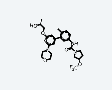 Cc1ccc(NC(=O)N2CC[C@@H](OC(F)(F)F)C2)cc1-c1cc(OC[C@H](C)O)nc(N2CCOCC2)c1